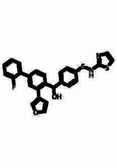 OC(c1ccc(SNc2nccs2)cc1)c1ccc(-c2ccccc2F)cc1-c1ccoc1